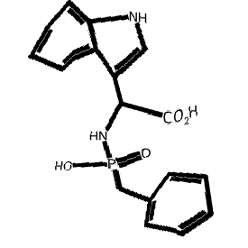 O=C(O)C(NP(=O)(O)Cc1ccccc1)c1c[nH]c2ccccc12